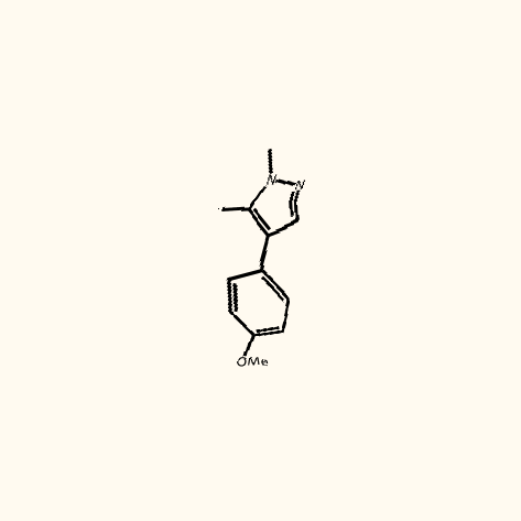 [CH2]c1c(-c2ccc(OC)cc2)cnn1C